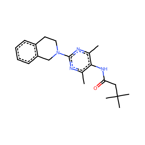 Cc1nc(N2CCc3ccccc3C2)nc(C)c1NC(=O)CC(C)(C)C